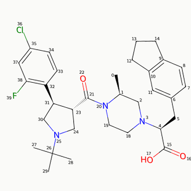 C[C@H]1CN([C@@H](Cc2ccc3c(c2)CCC3)C(=O)O)CCN1C(=O)[C@@H]1CN(C(C)(C)C)C[C@H]1c1ccc(Cl)cc1F